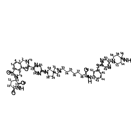 CN(Cc1ccc2c(c1)CN(C1CCC(=O)NC1=O)C2=O)C(=O)c1cnc(N2CCC3(CN(CCCCCCC(=O)Nc4cccc(Sc5cnc(N6CCC(C)(N)CC6)cn5)c4)C3)C2)cn1